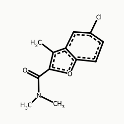 Cc1c(C(=O)N(C)C)oc2ccc(Cl)cc12